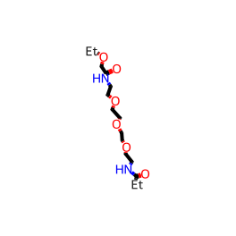 CCOCC(=O)NCCOCCOCCOCCNC(=O)CC